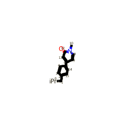 CC(C)Cc1ccc(-c2ccn(C)c(=O)c2)cc1